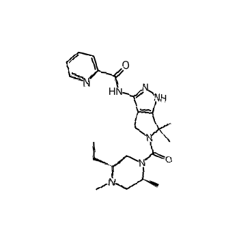 CC[C@H]1CN(C(=O)N2Cc3c(NC(=O)c4ccccn4)n[nH]c3C2(C)C)[C@@H](C)CN1C